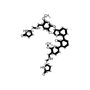 COc1nc(-c2cccc(-c3cccc4c3SC[C@@H]4Oc3nc(OC)c(CNC[C@@H]4CCC(=O)N4)cc3Cl)c2Cl)ccc1CNC[C@@H]1CCC(=O)N1